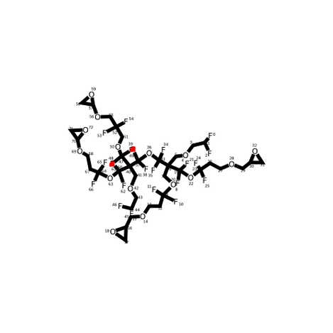 FC(F)COCC(COC(F)(F)CCOCC1CO1)(C(F)(F)OC(F)(F)CCOCC1CO1)C(F)(F)OC(F)(F)C(COCC(F)F)(C(F)(F)OCC(F)(F)COC1CO1)C(F)(F)OC(F)(F)CCOC1CO1